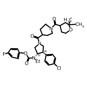 CCN(C(=O)Oc1ccc(F)cc1)[C@@H]1CN(C(=O)C2CCN(C(=O)C3CCOC(C)(C)C3)CC2)C[C@H]1c1ccc(Cl)cc1